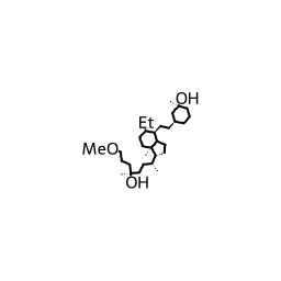 CC[C@H]1CC[C@@]2(C)C(CC[C@@H]2[C@H](C)CC[C@@](C)(O)CCCOC)[C@@H]1CC[C@@H]1CCC[C@](C)(O)C1